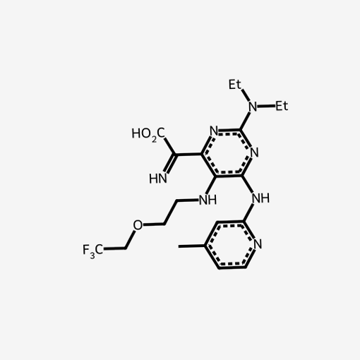 CCN(CC)c1nc(Nc2cc(C)ccn2)c(NCCOCC(F)(F)F)c(C(=N)C(=O)O)n1